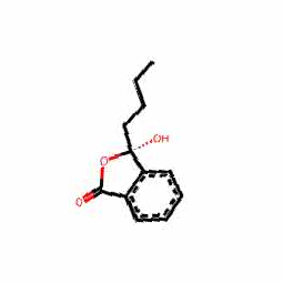 CCCC[C@]1(O)OC(=O)c2ccccc21